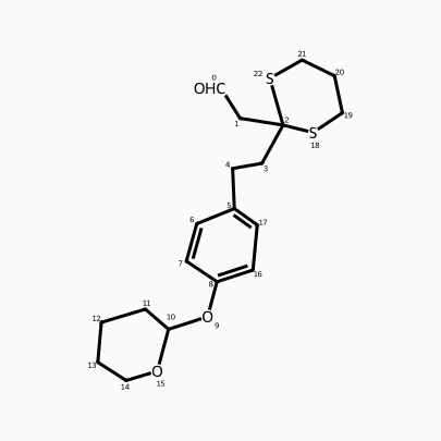 O=CCC1(CCc2ccc(OC3CCCCO3)cc2)SCCCS1